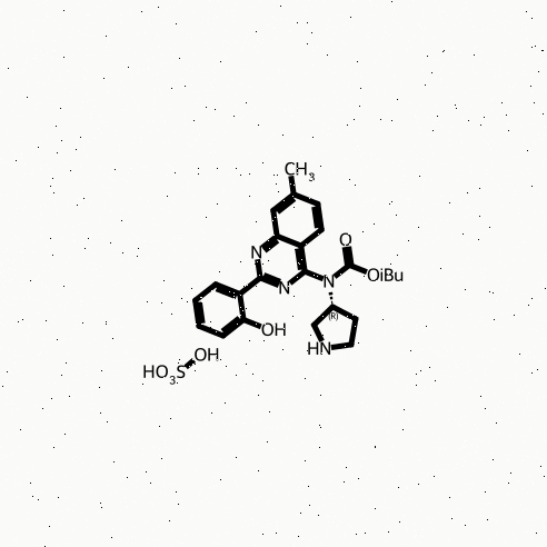 Cc1ccc2c(N(C(=O)OCC(C)C)[C@@H]3CCNC3)nc(-c3ccccc3O)nc2c1.O=S(=O)(O)O